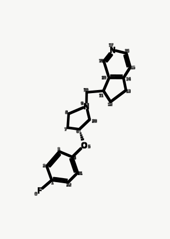 Fc1ccc(O[C@@H]2CCN(CC3CCc4ccncc43)C2)cc1